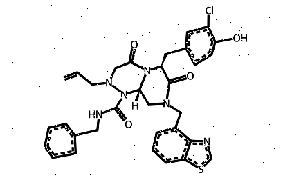 C=CCN1CC(=O)N2[C@@H](Cc3ccc(O)c(Cl)c3)C(=O)N(Cc3cccc4scnc34)C[C@@H]2N1C(=O)NCc1ccccc1